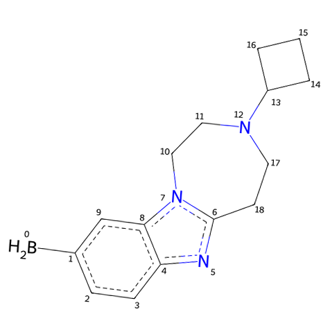 Bc1ccc2nc3n(c2c1)CCN(C1CCC1)CC3